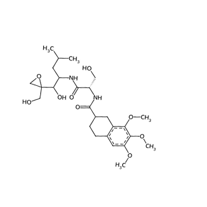 COc1cc2c(c(OC)c1OC)CC(C(=O)N[C@@H](CO)C(=O)NC(CC(C)C)C(O)C1(CO)CO1)CC2